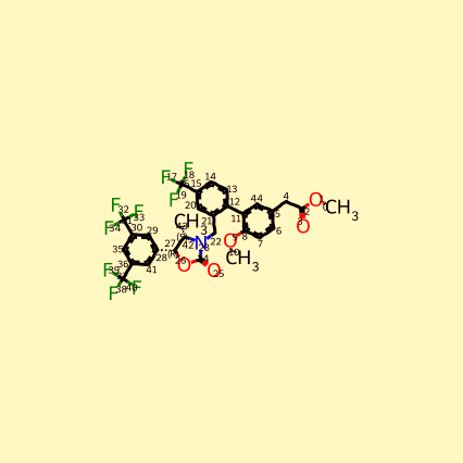 COC(=O)Cc1ccc(OC)c(-c2ccc(C(F)(F)F)cc2CN2C(=O)O[C@H](c3cc(C(F)(F)F)cc(C(F)(F)F)c3)[C@@H]2C)c1